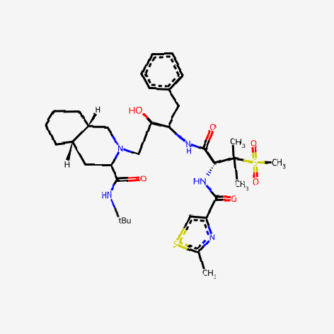 Cc1nc(C(=O)N[C@H](C(=O)NC(Cc2ccccc2)C(O)CN2C[C@H]3CCCC[C@H]3CC2C(=O)NC(C)(C)C)C(C)(C)S(C)(=O)=O)cs1